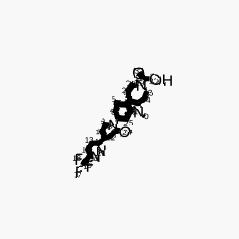 Cn1c2c(c3ccc(-n4ccc(-c5ccc(C(F)(F)F)nn5)cc4=O)cc31)CCN(C(=O)O)CC2